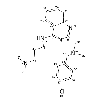 CN(C)CCCNc1nc(CN(C)Cc2ccc(Cl)cc2)nc2ccccc12